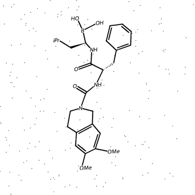 COc1cc2c(cc1OC)CN(C(=O)N[C@@H](Cc1ccccc1)C(=O)N[C@@H](CC(C)C)B(O)O)CC2